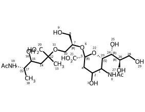 CC(=O)NC1C(O)C[C@](O[C@H](CO)COC(C)(CC(O)[C@H](C)NC(C)=O)C(=O)O)(C(=O)O)O[C@@H]1[C@H](O)[C@H](O)CO